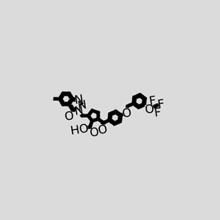 Cc1ccc2nnn(CC3CCC(C(=O)c4ccc(OCc5cccc(OC(F)(F)F)c5)cc4)C3C(=O)O)c(=O)c2c1